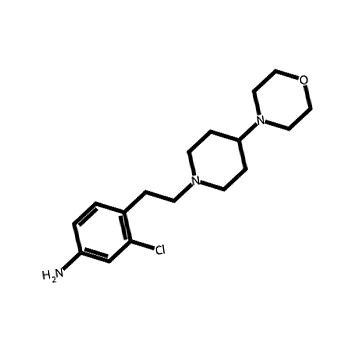 Nc1ccc(CCN2CCC(N3CCOCC3)CC2)c(Cl)c1